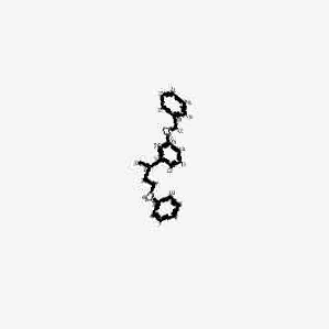 CC(CCOc1ccccc1)c1cccc(OCc2ccccc2)c1